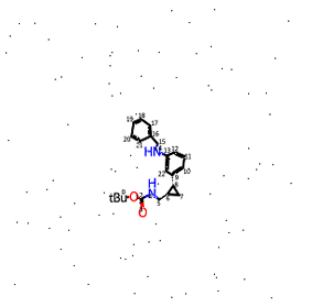 CC(C)(C)OC(=O)NC[C@@H]1C[C@H]1c1cccc(NCc2ccccc2)c1